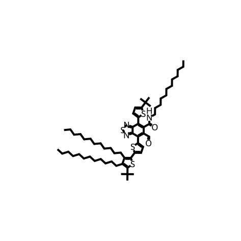 CCCCCCCCCCCCNC(=O)c1c(C=O)c(-c2ccc(-c3sc(C(C)(C)C)c(CCCCCCCCCCCC)c3CCCCCCCCCCCC)s2)c2nsnc2c1-c1ccc(C(C)(C)C)s1